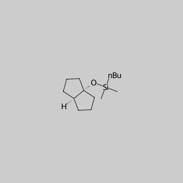 CCCC[Si](C)(C)O[C@]12CCC[C@H]1CCC2